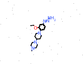 CCOc1cc(N=NN)ccc1N1CCC(N2CCN(C)CC2)CC1